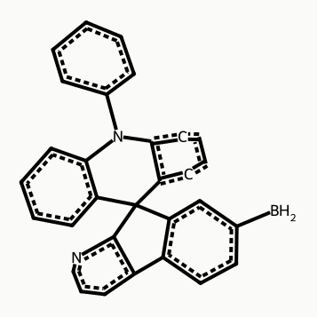 Bc1ccc2c(c1)C1(c3ccccc3N(c3ccccc3)c3ccccc31)c1ncccc1-2